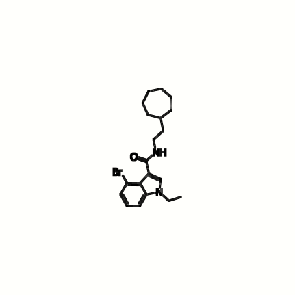 CCn1cc(C(=O)NCCC2CCCCCC2)c2c(Br)cccc21